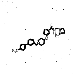 CCN1CCC[C@@H]1CNC(=O)c1cccc(OC2CCN(Cc3cccc(-c4ccc(C(F)(F)F)cc4)c3)CC2)c1